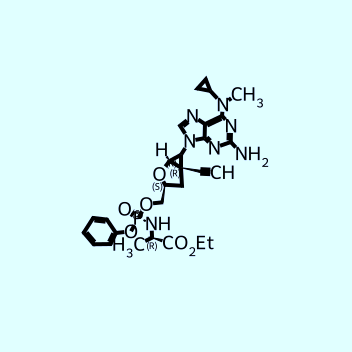 C#C[C@@]12C[C@@H](CO[P@@](=O)(N[C@H](C)C(=O)OCC)Oc3ccccc3)O[C@H]1C2n1cnc2c(N(C)C3CC3)nc(N)nc21